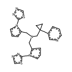 c1cncc(C2(CN(Cc3cccn3-c3nncs3)Cc3cccn3-c3nncs3)CC2)c1